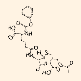 CC(=O)OCC1=C(C(=O)O)N2C(=O)C(NC(=O)CCCC(NC(=O)Oc3ccccc3)C(=O)O)[C@@H]2SC1